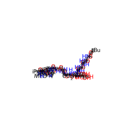 CC[C@H](C)[C@@H]([C@@H](CC(=O)N1CCC[C@H]1[C@H](OC)[C@@H](C)C(=O)N[C@@H](Cc1ccccc1)C(=O)NCCCOC(=O)C(C)NC(=O)CC(NC(=O)CCNC(=O)OCC(NC(=O)CNC(=O)CNC(=O)CNC(=O)CNC(=O)CCNC(=O)CCOCC(C)(C)C)C(=O)NC[C@H](O)[C@@H](O)[C@H](O)[C@H](O)CO)C(=O)O)OC)N(C)C(=O)[C@@H](NC(=O)[C@H](C(C)C)N(C)C)C(C)C